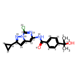 CC(C)(O)c1ccc(C(=O)Nc2cc3cc(C4CC4)nn3c(Cl)n2)cc1